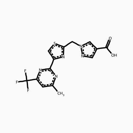 Cc1cc(C(F)(F)F)nc(-c2csc(Cn3cc(C(=O)O)cn3)n2)n1